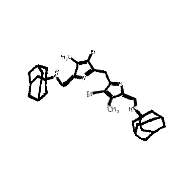 CCC1=C(C)/C(=C\NC23CC4CC(CC(C4)C2)C3)N=C1CC1=N/C(=C/NC23CC4CC(CC(C4)C2)C3)C(C)=C1CC